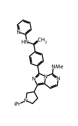 C=C(Nc1ccccn1)c1ccc(-c2nc(C3CCN(C(C)C)C3)c3ccnc(NC)n23)cc1